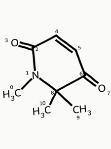 CN1C(=O)C=CC(=O)C1(C)C